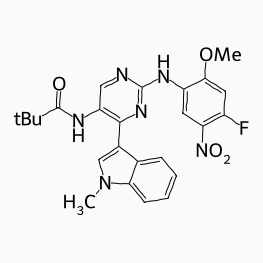 COc1cc(F)c([N+](=O)[O-])cc1Nc1ncc(NC(=O)C(C)(C)C)c(-c2cn(C)c3ccccc23)n1